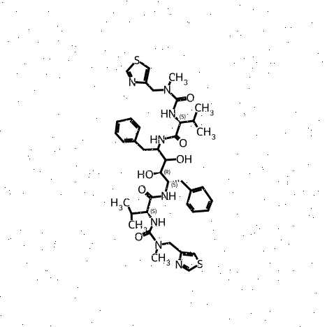 CC(C)[C@H](NC(=O)N(C)Cc1cscn1)C(=O)NC(Cc1ccccc1)C(O)[C@H](O)[C@H](Cc1ccccc1)NC(=O)[C@@H](NC(=O)N(C)Cc1cscn1)C(C)C